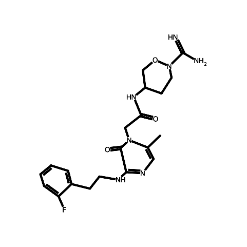 Cc1cnc(NCCc2ccccc2F)c(=O)n1CC(=O)NC1CCN(C(=N)N)OC1